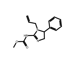 C=CCN1C(NC(=O)OC)=NCC1c1ccccc1